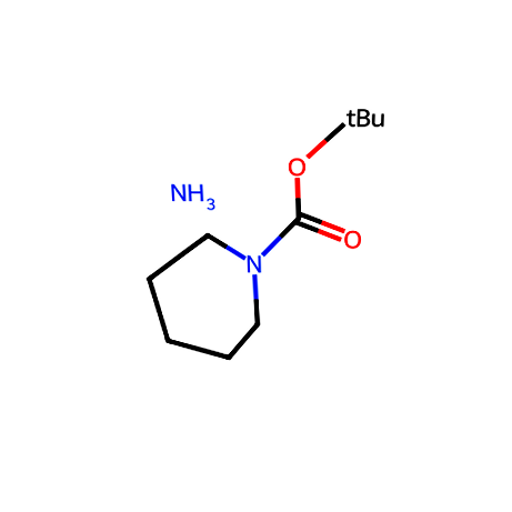 CC(C)(C)OC(=O)N1CCCCC1.N